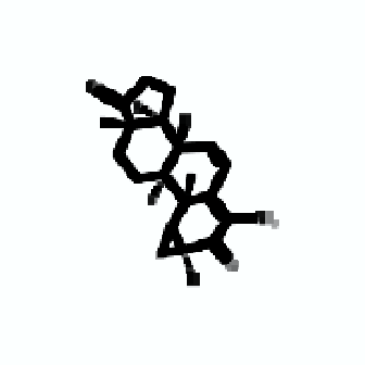 C[C@]12CC[C@H]3[C@@H](C=CC4=C(N)C(=O)[C@H]5CC5[C@@]43C)[C@@H]1CCC2=O